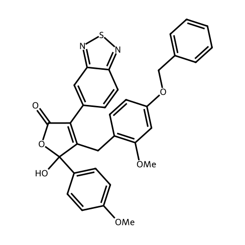 COc1ccc(C2(O)OC(=O)C(c3ccc4nsnc4c3)=C2Cc2ccc(OCc3ccccc3)cc2OC)cc1